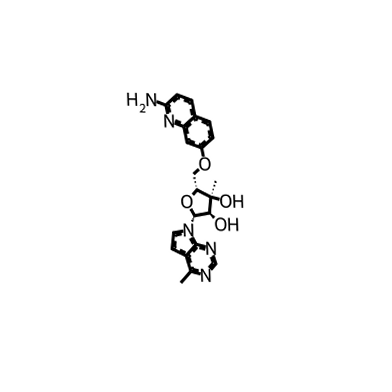 Cc1ncnc2c1ccn2[C@@H]1O[C@H](COc2ccc3ccc(N)nc3c2)[C@@](C)(O)[C@H]1O